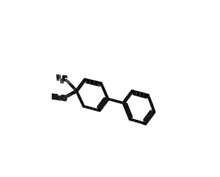 COC1(C(F)(F)F)C=CC(c2ccccc2)=CC1